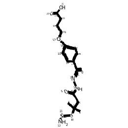 C/C(=N\NC(=O)CC(C)(C)SSN)c1ccc(OCCCC(=O)O)cc1